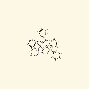 C[C]1([Ti]([CH2]c2ccccc2)([CH2]c2ccccc2)[CH2]c2ccccc2)C(C[Si](C)(C)c2ccccc2)=CC2=C1CCCC2